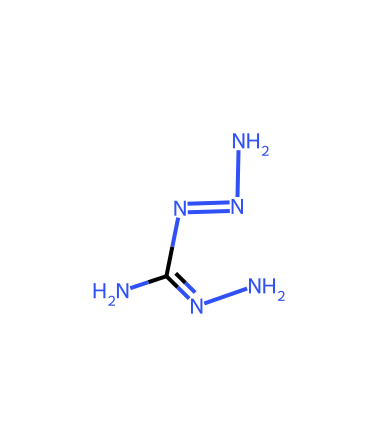 NN=NC(N)=NN